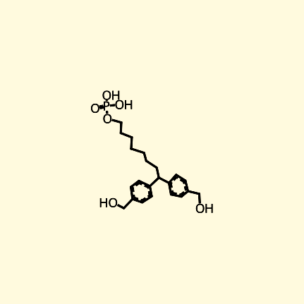 O=P(O)(O)OCCCCCCCC(c1ccc(CO)cc1)c1ccc(CO)cc1